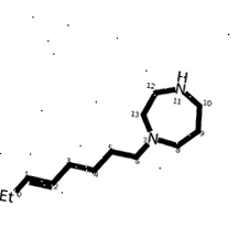 CC/C=C/CCCCN1CCCNCC1